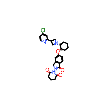 O=C1c2ccc(O[C@@H]3CCCC[C@H]3N3CC(c4cc(Cl)ccn4)C3)cc2CN1N1C(=O)CCCC1=O